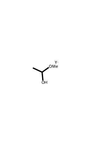 COC(C)O.[Y]